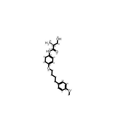 COc1ccc(CCCCOC2=CC=C(NC(=O)[C@@H](N)CO)CC2)cc1